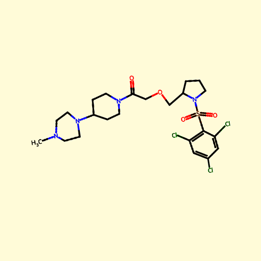 CN1CCN(C2CCN(C(=O)COCC3CCCN3S(=O)(=O)c3c(Cl)cc(Cl)cc3Cl)CC2)CC1